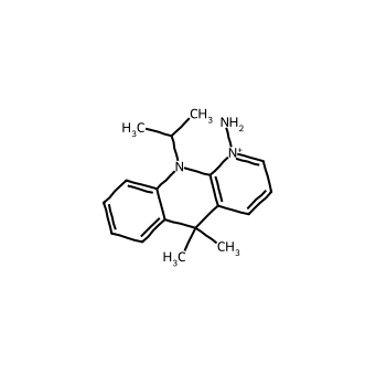 CC(C)N1c2ccccc2C(C)(C)c2ccc[n+](N)c21